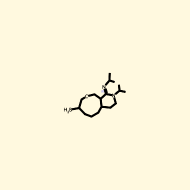 BC1CCCC2CCN(C(C)C)/C(=N\C(C)C)C2CCC1